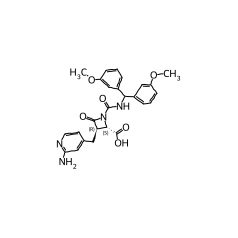 COc1cccc(C(NC(=O)N2C(=O)[C@H](Cc3ccnc(N)c3)[C@H]2C(=O)O)c2cccc(OC)c2)c1